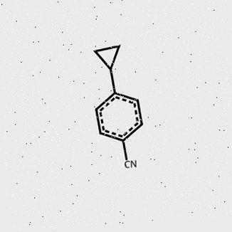 N#Cc1ccc(C2CC2)cc1